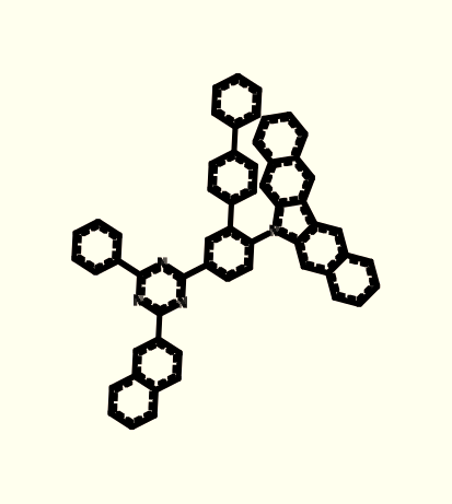 c1ccc(-c2ccc(-c3cc(-c4nc(-c5ccccc5)nc(-c5ccc6ccccc6c5)n4)ccc3-n3c4cc5ccccc5cc4c4cc5ccccc5cc43)cc2)cc1